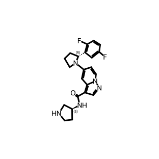 O=C(N[C@H]1CCNC1)c1cnn2ccc(N3CCC[C@@H]3c3cc(F)ccc3F)cc12